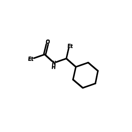 CCC(=O)NC(CC)C1CCCCC1